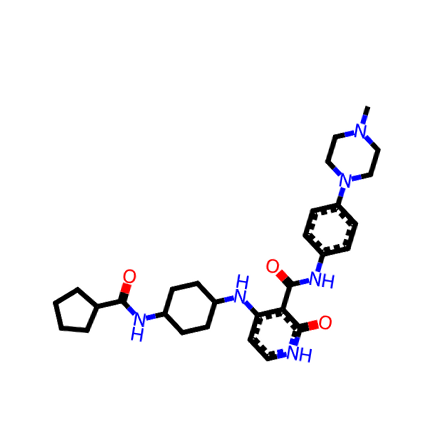 CN1CCN(c2ccc(NC(=O)c3c(NC4CCC(NC(=O)C5CCCC5)CC4)cc[nH]c3=O)cc2)CC1